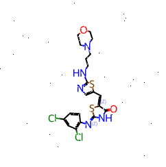 O=C1N/C(=N/c2ccc(Cl)cc2Cl)S/C1=C\c1cnc(NCCCN2CCOCC2)s1